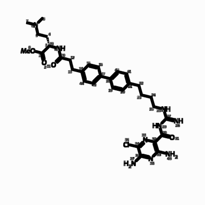 COC(=O)[C@H](CCN(C)C)NC(=O)CCc1ccc(-c2ccc(CCCCNC(=N)NC(=O)c3nc(Cl)c(N)nc3N)cc2)cc1